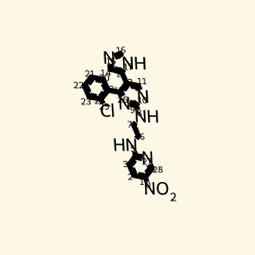 O=[N+]([O-])c1ccc(NCCNc2ncc(-c3cnc[nH]3)c(-c3ccccc3Cl)n2)nc1